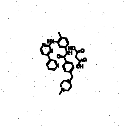 Cc1ccc(NC(=O)c2ccc(CN3CCN(C)CC3)cc2)cc1Nc1nccc(-c2cccnc2)n1.O=C(O)CC(=O)O